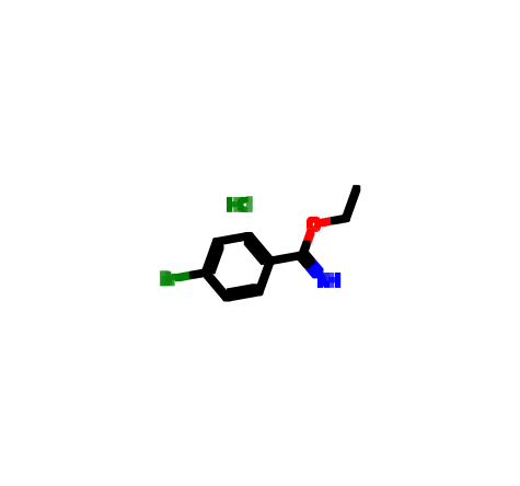 CCOC(=N)c1ccc(Br)cc1.Cl